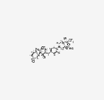 COC1=NN(c2ccc(CNC(=O)c3c(C(F)(F)F)nc4ccc(Cl)cn34)cc2F)CCN1S(=O)(=O)C(F)(F)F